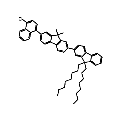 CCCCCCCCC1(CCCCCCCC)c2ccccc2-c2ccc(-c3ccc4c(c3)C(C)(C)c3cc(-c5ccc(Cl)c6ccccc56)ccc3-4)cc21